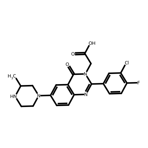 CC1CN(c2ccc3nc(-c4ccc(F)c(Cl)c4)n(CC(=O)O)c(=O)c3c2)CCN1